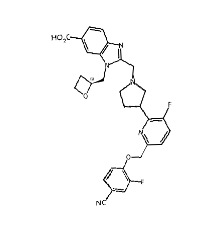 N#Cc1ccc(OCc2ccc(F)c(C3CCN(Cc4nc5ccc(C(=O)O)cc5n4C[C@@H]4CCO4)C3)n2)c(F)c1